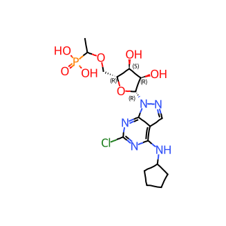 CC(OC[C@H]1O[C@@H](n2ncc3c(NC4CCCC4)nc(Cl)nc32)[C@H](O)[C@@H]1O)P(=O)(O)O